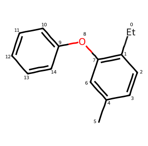 CCc1ccc(C)cc1Oc1ccccc1